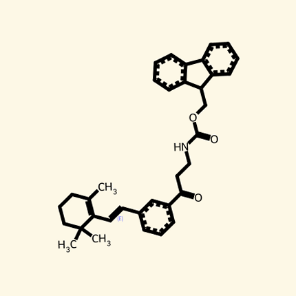 CC1=C(/C=C/c2cccc(C(=O)CCNC(=O)OCC3c4ccccc4-c4ccccc43)c2)C(C)(C)CCC1